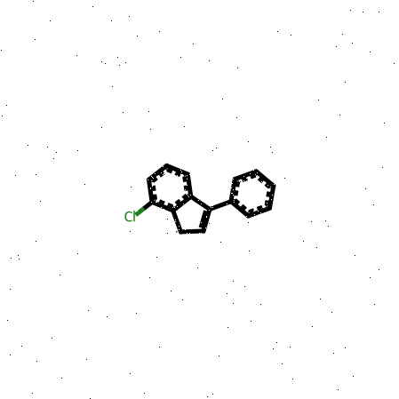 Clc1cccc2c1[CH]C=C2c1ccccc1